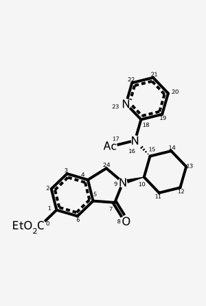 CCOC(=O)c1ccc2c(c1)C(=O)N([C@@H]1CCCC[C@H]1N(C(C)=O)c1ccccn1)C2